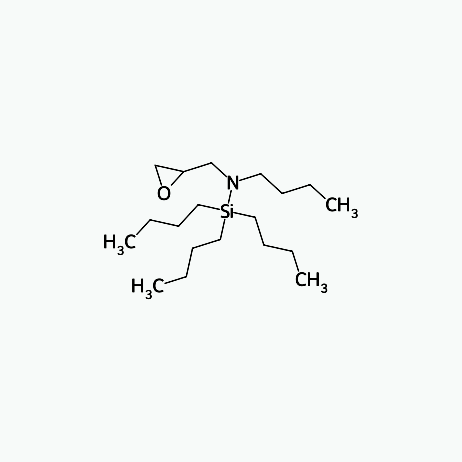 CCCCN(CC1CO1)[Si](CCCC)(CCCC)CCCC